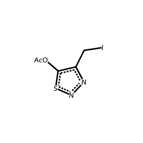 CC(=O)Oc1snnc1CI